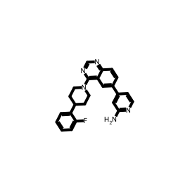 Nc1cc(-c2ccc3ncnc(N4CCC(c5ccccc5F)CC4)c3c2)ccn1